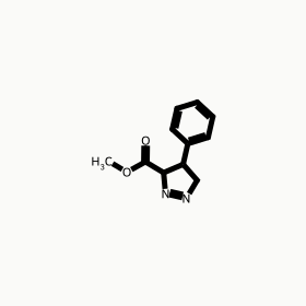 COC(=O)C1N=NCC1c1ccccc1